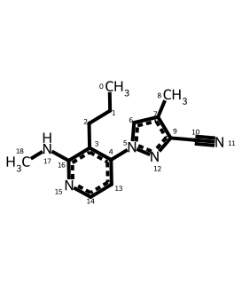 CCCc1c(-n2cc(C)c(C#N)n2)ccnc1NC